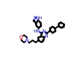 c1ccc(-c2ccc(-c3nc(Nc4ccc5[nH]ncc5c4)c4cc(CCCN5CCOCC5)ccc4n3)cc2)cc1